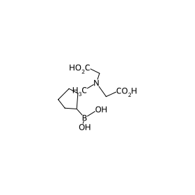 CN(CC(=O)O)CC(=O)O.OB(O)C1CCCC1